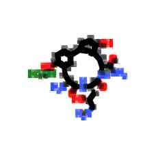 Cl.Cl.NC[C@H](O)C[C@@H]1NC(=O)[C@@H](N)Cc2cc(ccc2O)-c2ccc(O)c(c2)C[C@@H](C(N)=O)NC1=O